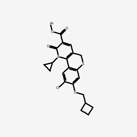 CC(C)OC(=O)c1cc2c(n(C3CC3)c1=O)-c1cc(Cl)c(OCC3CCC3)cc1SC2